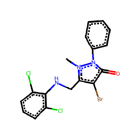 Cn1c(CNc2c(Cl)cccc2Cl)c(Br)c(=O)n1-c1ccccc1